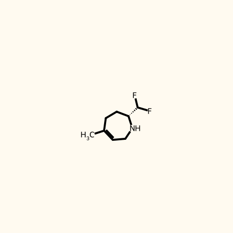 CC1=CCN[C@@H](C(F)F)CC1